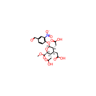 COC(=O)[C@H]1O[C@@H](Oc2ccc(C=O)cc2[N+](=O)[O-])[C@H](CC(=O)O)[C@@H](CC(=O)O)[C@@H]1CC(=O)O